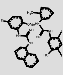 CCc1ccc(OC)c(NC(=N)Nc2cccc3ccccc23)c1.Cc1ccccc1NC(=N)Nc1cc(O)c(I)cc1I